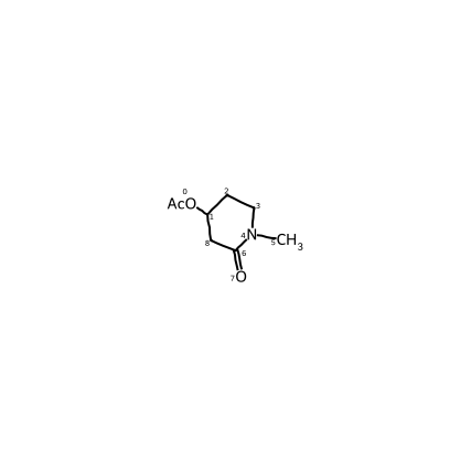 CC(=O)OC1CCN(C)C(=O)C1